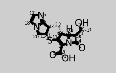 C[C@@H](O)[C@H]1C(=O)N2C(C(=O)O)=C(S[C@H]3Cc4nccn4C3)[C@H](C)[C@H]12